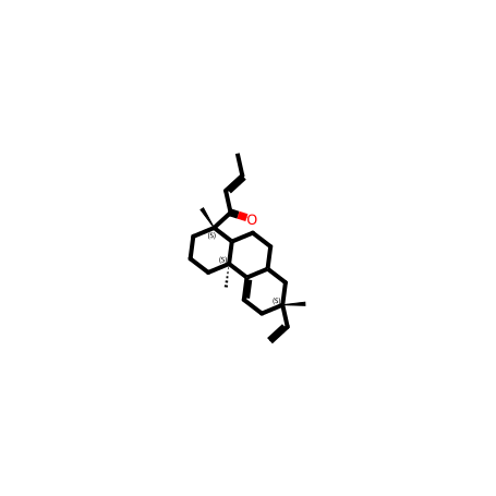 C=C[C@]1(C)CC=C2C(CCC3[C@@](C)(C(=O)C=CC)CCC[C@]23C)C1